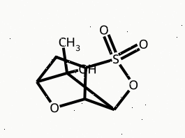 CC1(O)C2CC3C(O2)C1OS3(=O)=O